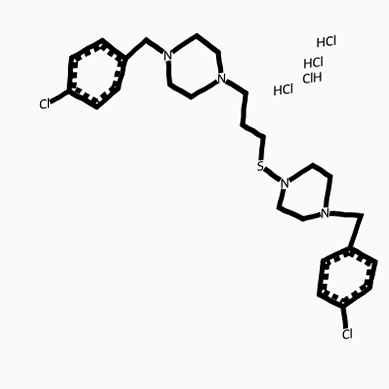 Cl.Cl.Cl.Cl.Clc1ccc(CN2CCN(CCCSN3CCN(Cc4ccc(Cl)cc4)CC3)CC2)cc1